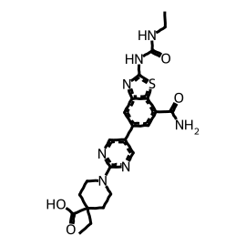 CCNC(=O)Nc1nc2cc(-c3cnc(N4CCC(CC)(C(=O)O)CC4)nc3)cc(C(N)=O)c2s1